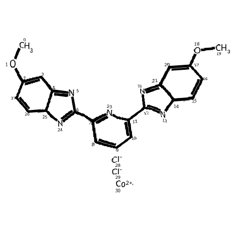 COC1=CC2=NC(c3cccc(C4=NC5C=CC(OC)=CC5=N4)n3)=NC2C=C1.[Cl-].[Cl-].[Co+2]